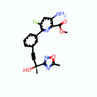 COC(=O)c1nc(-c2cccc(C#C[C@@](C)(O)c3noc(C)n3)c2)c(F)cc1N